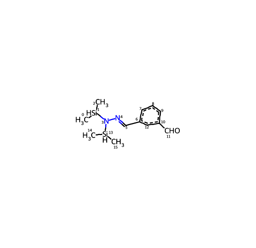 C[SiH](C)N(N=Cc1cccc(C=O)c1)[SiH](C)C